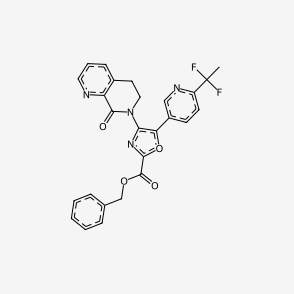 CC(F)(F)c1ccc(-c2oc(C(=O)OCc3ccccc3)nc2N2CCc3cccnc3C2=O)cn1